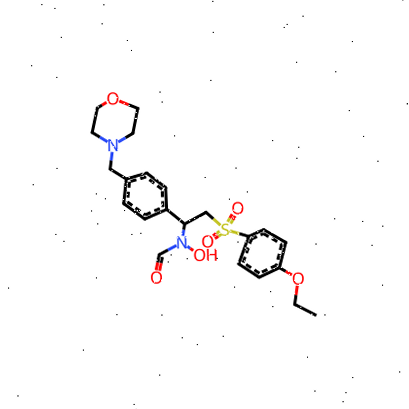 CCOc1ccc(S(=O)(=O)CC(c2ccc(CN3CCOCC3)cc2)N(O)C=O)cc1